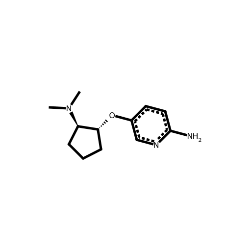 CN(C)[C@@H]1CCC[C@H]1Oc1ccc(N)nc1